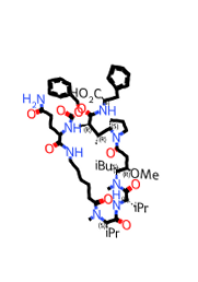 CC[C@H](C)[C@@H]([C@@H](CC(=O)N1CCC[C@H]1[C@H](C)[C@@H](C)C(=O)N[C@@H](Cc1ccccc1)C(=O)O)OC)N(C)C(=O)[C@@H](NC(=O)[C@H](C(C)C)N(C)C(=O)CCCCCNC(=O)C(CCC(N)=O)NC(=O)OCc1ccccc1)C(C)C